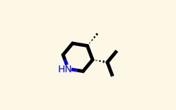 CC(C)[C@@H]1CNCC[C@@H]1C